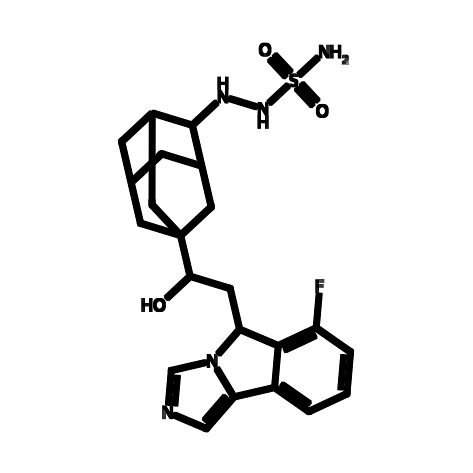 NS(=O)(=O)NNC1C2CC3CC1CC(C(O)CC1c4c(F)cccc4-c4cncn41)(C3)C2